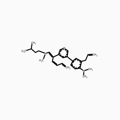 C=C/C=C\C(=C/N(C)CCC(C)C)c1cncc(-c2ccc(N(C)C)c(CC=C)c2)c1